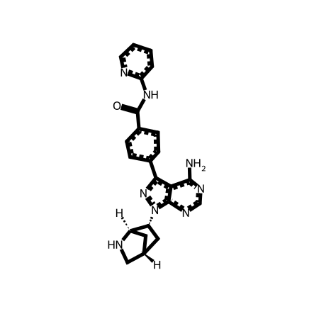 Nc1ncnc2c1c(-c1ccc(C(=O)Nc3ccccn3)cc1)nn2[C@@H]1C[C@@H]2CN[C@@H]1C2